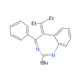 CCC(CC)=C1C(c2ccccc2)=NC(C(C)(C)C)=Nc2ccccc21